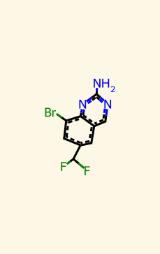 Nc1ncc2cc(C(F)F)cc(Br)c2n1